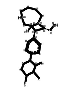 CC1C(F)CCC(c2ccc([C@@H]3[C@@H](CO)N4CCCCNC[C@@H]34)cc2)C1C